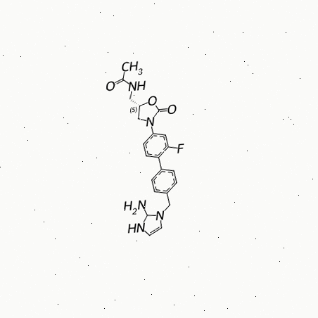 CC(=O)NC[C@H]1CN(c2ccc(-c3ccc(CN4C=CNC4N)cc3)c(F)c2)C(=O)O1